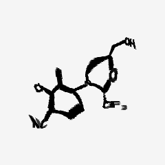 Cc1c(N2C[C@@H](CO)O[C@@H]2C(F)(F)F)ccc(C#N)c1Cl